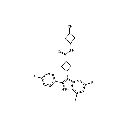 O=C(N[C@H]1C[C@H](O)C1)[C@H]1C[C@@H](c2c(-c3ccc(F)cc3)[nH]c3c(F)cc(F)cc32)C1